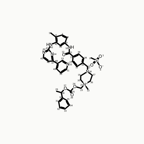 CS(=O)(=O)[O-].Cc1ccc(NC(=O)c2ccc(CN3CC[N+](C)(COC(=O)OC(C)c4ccccc4)CC3)cc2)cc1Nc1nccc(-c2cccnc2)n1